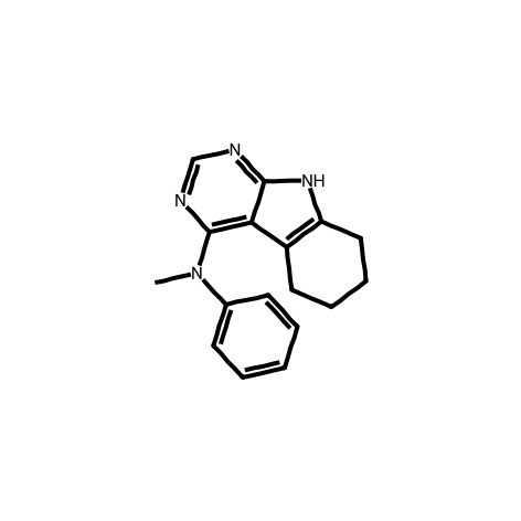 CN(c1ccccc1)c1ncnc2[nH]c3c(c12)CCCC3